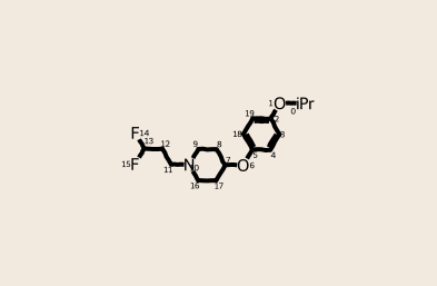 CC(C)Oc1ccc(OC2CCN(CCC(F)F)CC2)cc1